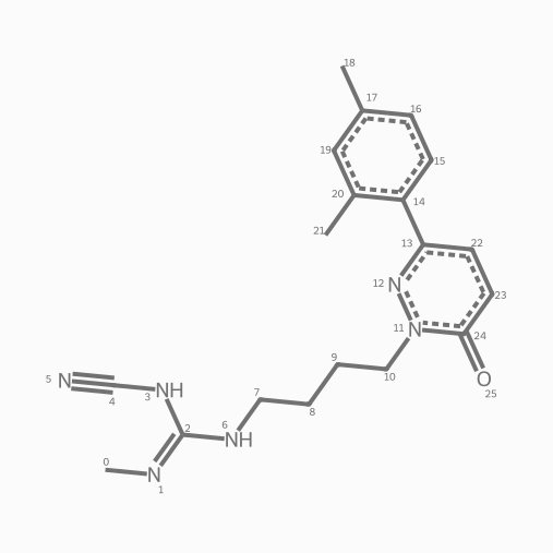 C/N=C(\NC#N)NCCCCn1nc(-c2ccc(C)cc2C)ccc1=O